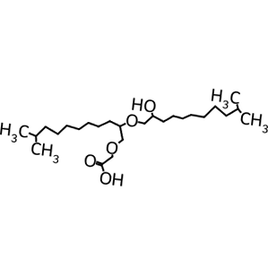 CC(C)CCCCCCCC(O)COC(CCCCCCCC(C)C)COCC(=O)O